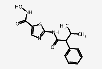 CC(C)C(C(=O)Nc1ncc(C(=O)NO)s1)c1ccccc1